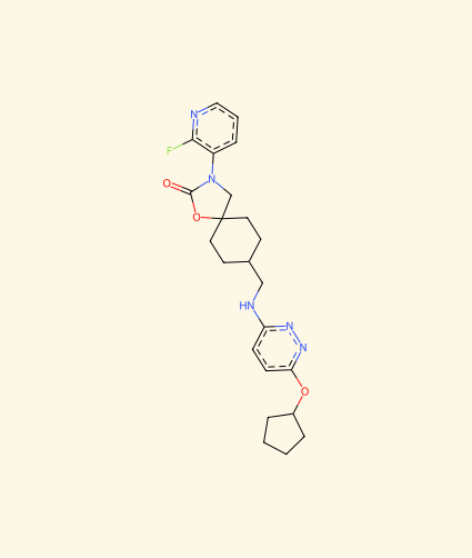 O=C1OC2(CCC(CNc3ccc(OC4CCCC4)nn3)CC2)CN1c1cccnc1F